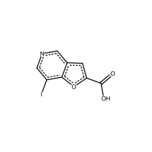 O=C(O)c1cc2cncc(I)c2o1